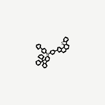 c1ccc(-c2ccc(N(c3ccc(-c4ccc5c(ccc6ccc7c8ccccc8sc7c65)c4)cc3)c3ccc4c(c3)C(c3ccccc3)(c3ccccc3)c3ccccc3-4)cc2)cc1